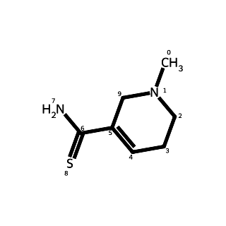 CN1CCC=C(C(N)=S)C1